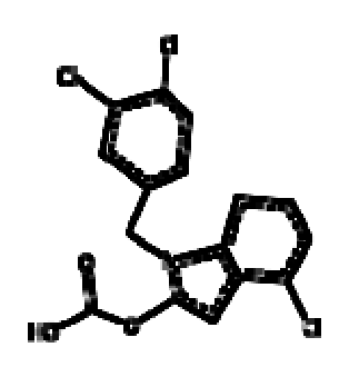 O=C(O)Oc1cc2c(Cl)cccc2n1Cc1ccc(Cl)c(Cl)c1